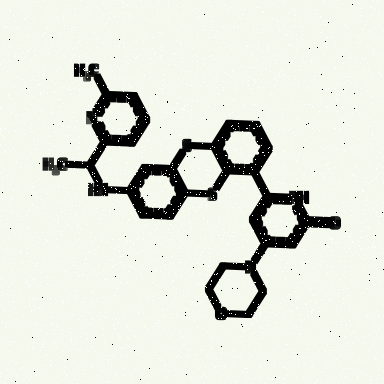 Cc1cccc(C(C)Nc2ccc3c(c2)Sc2cccc(-c4cc(N5CCOCC5)cc(=O)[nH]4)c2S3)n1